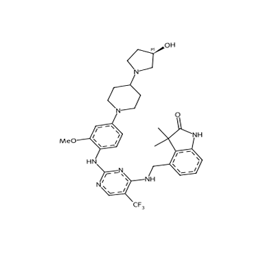 COc1cc(N2CCC(N3CC[C@@H](O)C3)CC2)ccc1Nc1ncc(C(F)(F)F)c(NCc2cccc3c2C(C)(C)C(=O)N3)n1